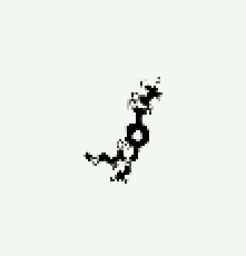 COCCC(O)N(Cc1ccc(-c2noc(C(F)(F)F)n2)cc1)CC(F)(F)F